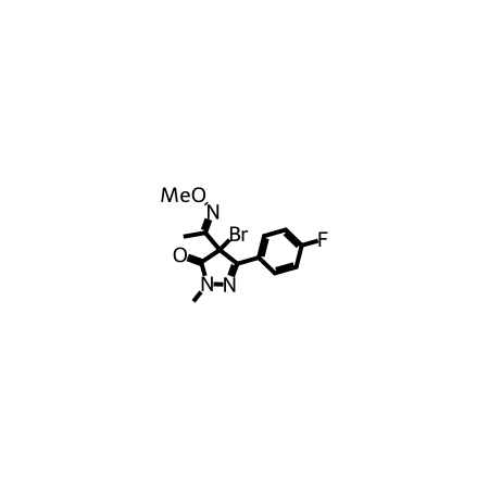 CO/N=C(\C)C1(Br)C(=O)N(C)N=C1c1ccc(F)cc1